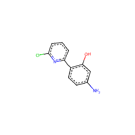 Nc1ccc(-c2cccc(Cl)n2)c(O)c1